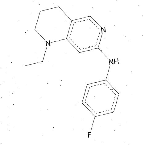 CCN1CCCc2cnc(Nc3ccc(F)cc3)cc21